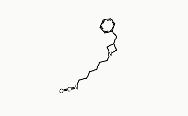 O=C=NCCCCCCN1CC(Cc2ccccc2)C1